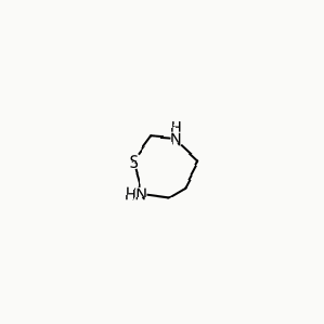 C1CNCSNC1